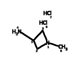 CN1CC(N)C1.Cl.Cl